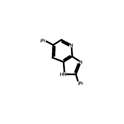 CC(C)c1cnc2nc(C(C)C)[nH]c2c1